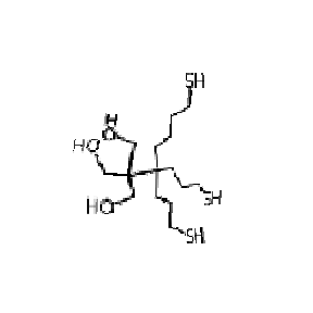 OCC(CO)(CO)C(CCCS)(CCCS)CCCCS